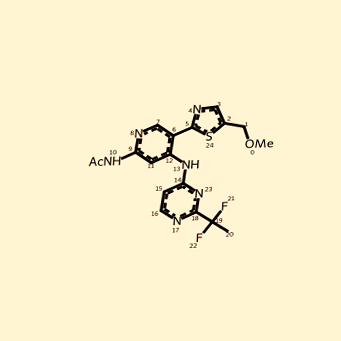 COCc1cnc(-c2cnc(NC(C)=O)cc2Nc2ccnc(C(C)(F)F)n2)s1